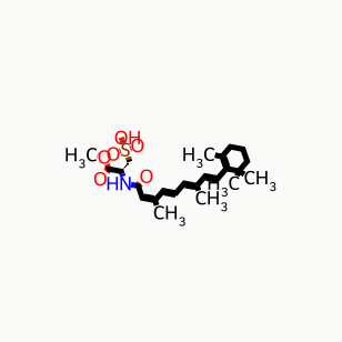 COC(=O)[C@H](CS(=O)(=O)O)NC(=O)\C=C(C)/C=C/C=C(C)/C=C/C1=C(C)CCCC1(C)C